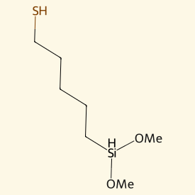 CO[SiH](CCCCCS)OC